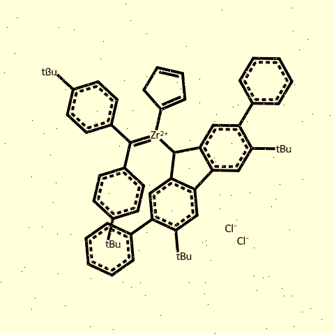 CC(C)(C)c1ccc([C](c2ccc(C(C)(C)C)cc2)=[Zr+2]([C]2=CC=CC2)[CH]2c3cc(-c4ccccc4)c(C(C)(C)C)cc3-c3cc(C(C)(C)C)c(-c4ccccc4)cc32)cc1.[Cl-].[Cl-]